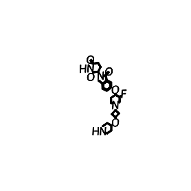 O=C1CCC(N2Cc3ccc(OC4CCN(C5CC(OC6CCNCC6)C5)CC4F)cc3C2=O)C(=O)N1